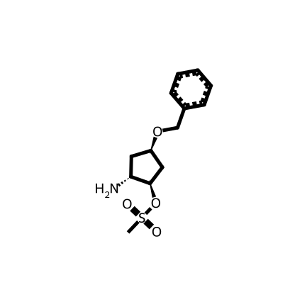 CS(=O)(=O)O[C@@H]1C[C@H](OCc2ccccc2)C[C@H]1N